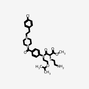 COC(=O)[C@@H](SCCN)C(=O)N(CCOC(C)C)c1ccc(C(=O)N2CCN(CCc3ccc(Cl)cc3)CC2)cc1